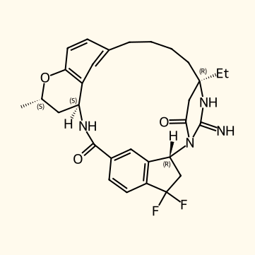 CC[C@]12CCCCc3ccc4c(c3)[C@H](C[C@H](C)O4)NC(=O)c3ccc4c(c3)[C@@H](CC4(F)F)N(C(=N)N1)C(=O)C2